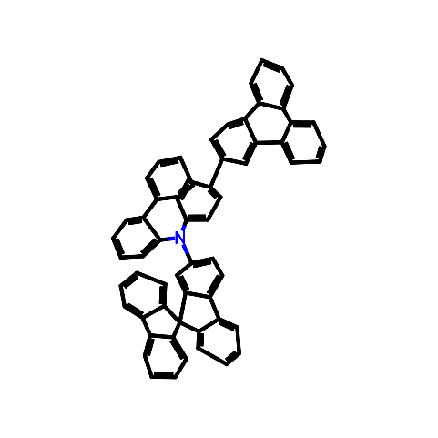 c1ccc(-c2ccccc2N(c2ccc(-c3ccc4c5ccccc5c5ccccc5c4c3)cc2)c2ccc3c(c2)C2(c4ccccc4-c4ccccc42)c2ccccc2-3)cc1